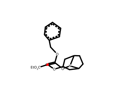 CCOC(=O)COC1CC2CCC(C1)N2OC(=O)OCc1ccccc1